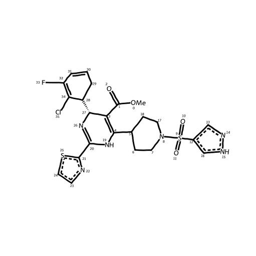 COC(=O)C1=C(C2CCN(S(=O)(=O)c3cn[nH]c3)CC2)NC(c2nccs2)=N[C@@H]1C1CC=CC(F)=C1Cl